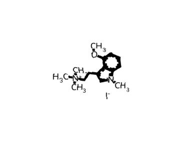 COc1cccc2c1c(CC[N+](C)(C)C)cn2C.[I-]